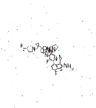 C[C@@H](O)CN1CC2CCC(C1)N2c1nc(OCC2(CN3CCC(=CF)CC3)CC2)nc2c(F)c(-c3ccc(F)c4sc(N)c(C#N)c34)ncc12